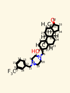 C[C@]12CC[C@](O)(CN3CCN(Cc4cccc(C(F)(F)F)c4)CC3)C[C@@H]1CC[C@@H]1[C@@H]2CC[C@]2(C)C(=O)CC[C@@H]12